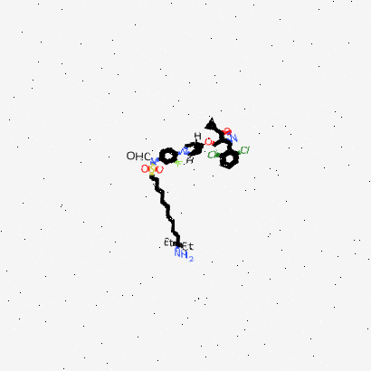 CCC(N)(CC)CCCCCCCCCCS(=O)(=O)N(C=O)c1ccc(N2C[C@@H]3C[C@H]2C[C@H]3OCc2c(-c3c(Cl)cccc3Cl)noc2C2CC2)c(F)c1